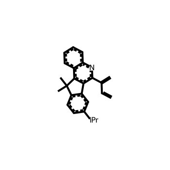 C=CC(=C)c1nc2ccccc2c2c1-c1cc(C(C)C)ccc1C2(C)C